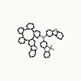 CC1(C)c2ccccc2-c2ccc(N(c3ccc4oc5ccccc5c4c3)c3ccc4c5ccccc5c5ccccc5c5ccccc5c5cc6c(cc5c4c3)sc3ccccc36)cc21